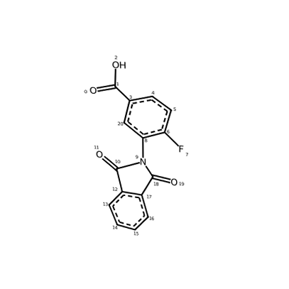 O=C(O)c1ccc(F)c(N2C(=O)c3ccccc3C2=O)c1